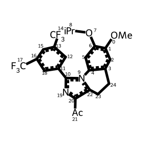 COc1cc2c(cc1OC(C)C)-n1c(-c3cc(C(F)(F)F)cc(C(F)(F)F)c3)nc(C(C)=O)c1CC2